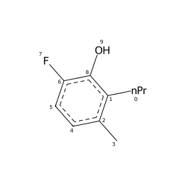 CCCc1c(C)ccc(F)c1O